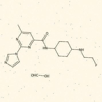 Cc1cc(C(=O)NC2CCC(NCCF)CC2)nc(-n2ccnc2)n1.O=CO